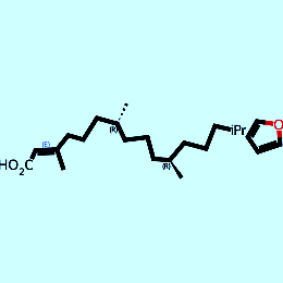 C/C(=C\C(=O)O)CCC[C@H](C)CCC[C@H](C)CCCC(C)C.c1ccoc1